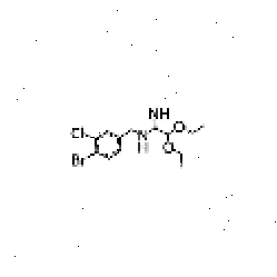 CCOC(OCC)C(=N)NCc1ccc(Br)c(Cl)c1